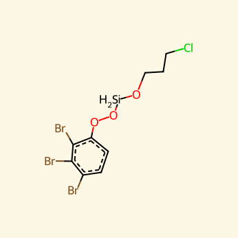 ClCCCO[SiH2]OOc1ccc(Br)c(Br)c1Br